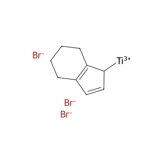 [Br-].[Br-].[Br-].[Ti+3][CH]1C=CC2=C1CCCC2